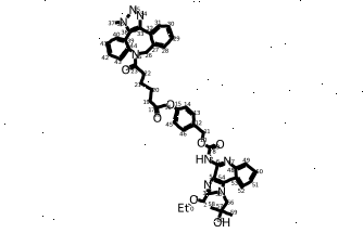 CCOCc1nc2c(NC(=O)OCc3ccc(OC(=O)CCCCC(=O)N4Cc5ccccc5-c5nnn(C)c5-c5ccccc54)cc3)nc3ccccc3c2n1CC(C)(C)O